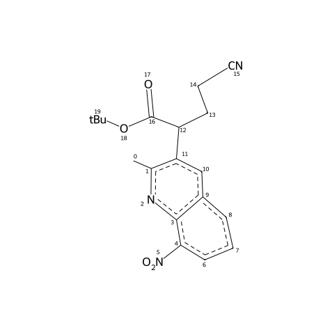 Cc1nc2c([N+](=O)[O-])cccc2cc1C(CCC#N)C(=O)OC(C)(C)C